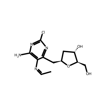 C/C=N\c1c(N)nc(Cl)nc1C[C@H]1C[C@H](O)[C@@H](CO)O1